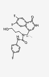 C[C@@H](c1c[nH]c(=O)c2cc(F)c(F)cc12)N(CCCO)C(=O)Nc1ccc(F)cc1